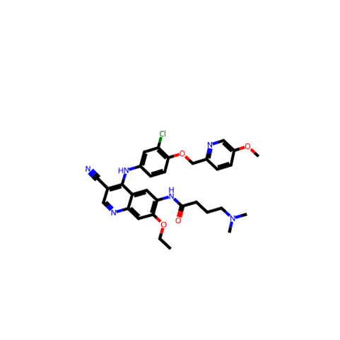 CCOc1cc2ncc(C#N)c(Nc3ccc(OCc4ccc(OC)cn4)c(Cl)c3)c2cc1NC(=O)CCCN(C)C